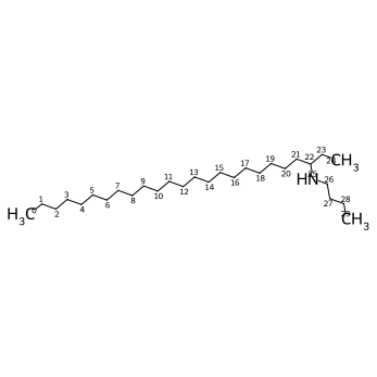 CCCCCCCCCCCCCCCCCCCCCCC(CC)NCCCC